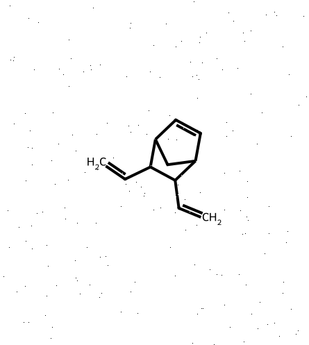 C=CC1C2C=CC(C2)C1C=C